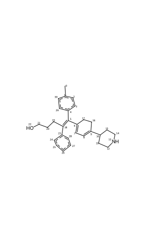 Cc1ccc(/C(C2=CC=C(C3CCNCC3)CC2)=C(\CCCO)c2ccccc2)cc1